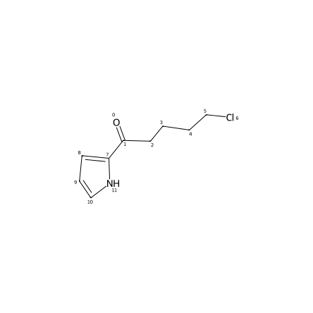 O=C(CCCCCl)c1ccc[nH]1